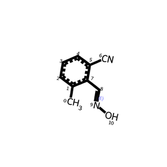 Cc1cccc(C#N)c1/C=N/O